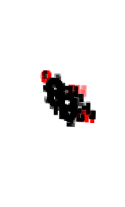 CC12C=CC(=O)C=C1CC[C@@H]1C2C(O)CC2(C)C(O)CCC12